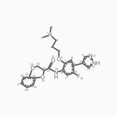 CN(C)CCCOc1cc(-c2cn[nH]c2)c(F)cc1NC(=O)C1COc2ccccc2O1